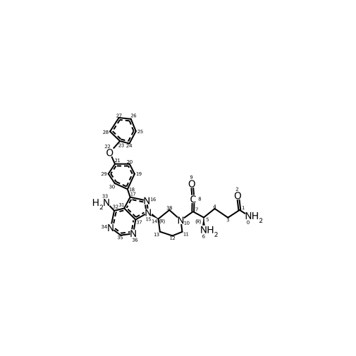 NC(=O)CC[C@@H](N)C(=C=O)N1CCC[C@@H](n2nc(-c3ccc(Oc4ccccc4)cc3)c3c(N)ncnc32)C1